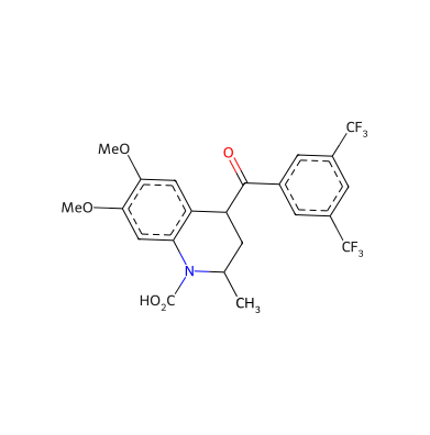 COc1cc2c(cc1OC)N(C(=O)O)C(C)CC2C(=O)c1cc(C(F)(F)F)cc(C(F)(F)F)c1